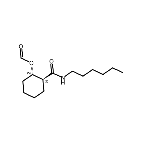 CCCCCCNC(=O)[C@H]1CCCC[C@@H]1OC=O